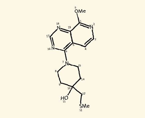 COc1nccc2c(N3CCC(O)(CSC)CC3)ncnc12